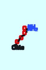 COCCOCCOCCOCC(=O)NN